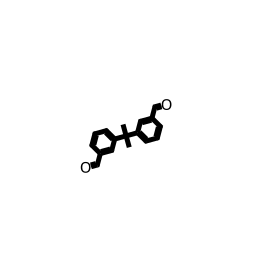 CC(C)(c1cccc(C=O)c1)c1cccc(C=O)c1